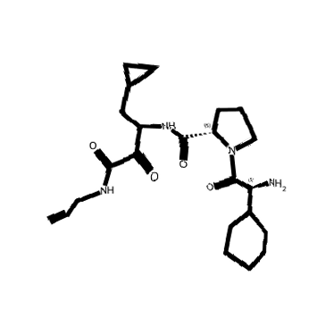 C=CCNC(=O)C(=O)C(CC1CC1)NC(=O)[C@@H]1CCCN1C(=O)[C@@H](N)C1CCCCC1